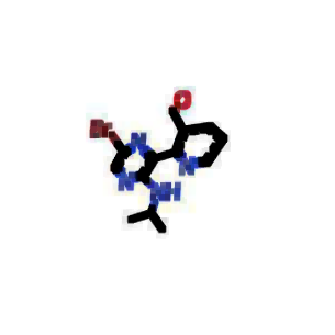 CC(C)Nc1ncc(Br)nc1-c1ncccc1C=O